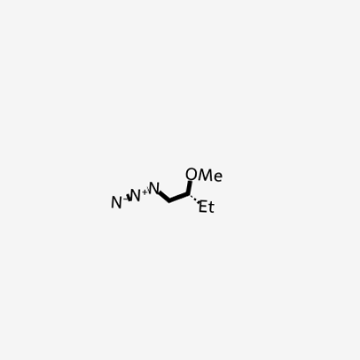 CC[C@H](CN=[N+]=[N-])OC